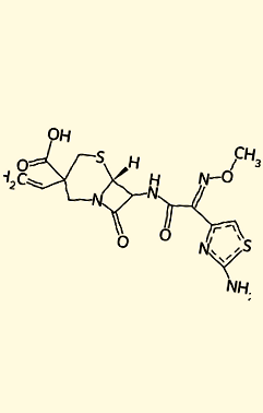 C=CC1(C(=O)O)CS[C@@H]2C(NC(=O)C(=NOC)c3csc(N)n3)C(=O)N2C1